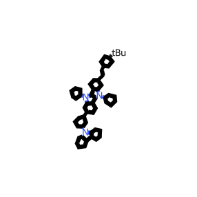 CC(C)(C)c1ccc(/C=C/c2ccc3c(c2)n(-c2ccccc2)c2c4ccc(-c5cccc(-n6c7ccccc7c7ccccc76)c5)cc4n(-c4ccccc4)c32)cc1